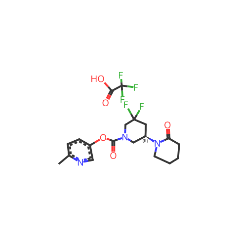 Cc1ccc(OC(=O)N2C[C@H](N3CCCCC3=O)CC(F)(F)C2)cn1.O=C(O)C(F)(F)F